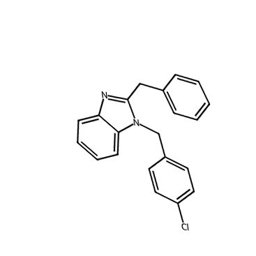 Clc1ccc(Cn2c(Cc3ccccc3)nc3ccccc32)cc1